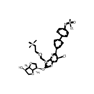 CCS(C)(=O)=Nc1ccc(-c2ccc(-c3nc4c(cc3Cl)nc(O[C@@H]3CO[C@H]5[C@@H]3OC[C@H]5O)n4COCC[Si](C)(C)C)cc2)cc1